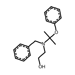 CC(C)(Oc1ccccc1)N(CCO)Cc1ccccc1